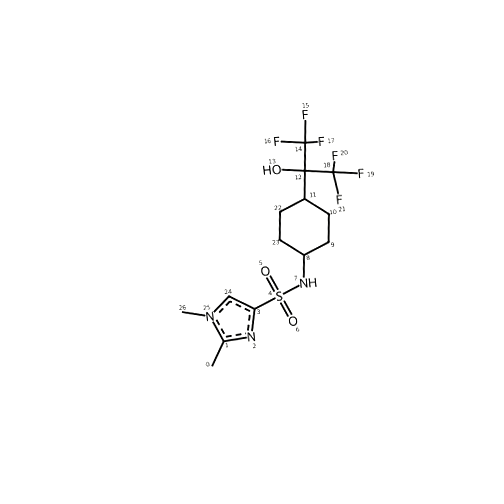 Cc1nc(S(=O)(=O)NC2CCC(C(O)(C(F)(F)F)C(F)(F)F)CC2)cn1C